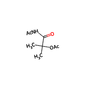 CC(=O)NC(=O)C(C)(C)OC(C)=O